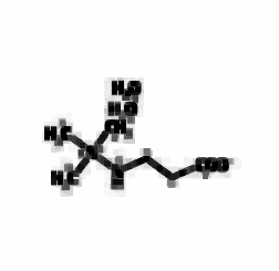 C[N+](C)(C)NCCC(=O)[O-].O.O